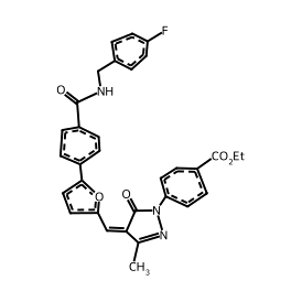 CCOC(=O)c1ccc(N2N=C(C)/C(=C/c3ccc(-c4ccc(C(=O)NCc5ccc(F)cc5)cc4)o3)C2=O)cc1